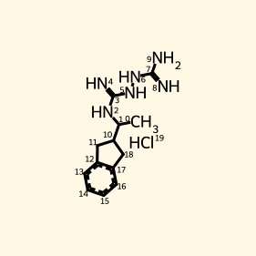 CC(NC(=N)NNC(=N)N)C1Cc2ccccc2C1.Cl